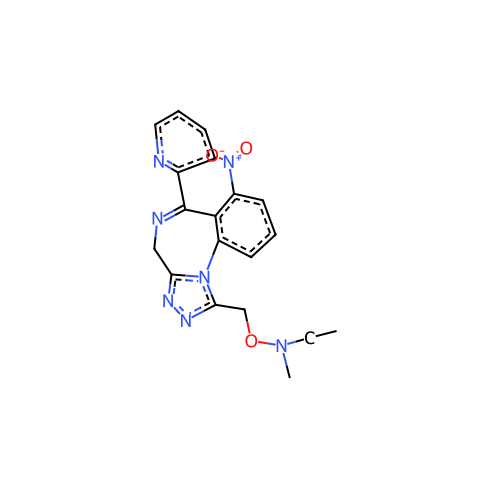 CCN(C)OCc1nnc2n1-c1cccc([N+](=O)[O-])c1C(c1ccccn1)=NC2